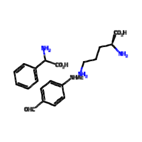 CC(=O)Nc1ccc(C=O)cc1.NC(C(=O)O)c1ccccc1.NCCC[C@H](N)C(=O)O